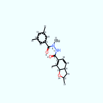 CC1=C(C(=O)NN(C(=O)c2cc(C)cc(C)c2)C(C)(C)C)C=CC2CC(C)OC12